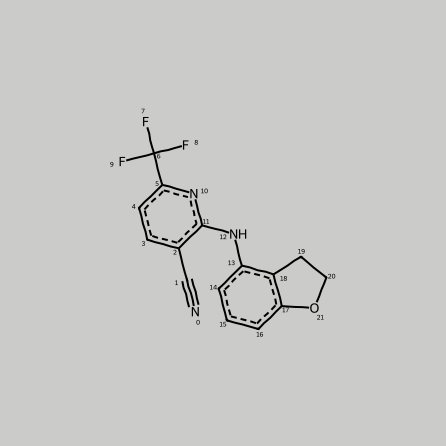 N#Cc1ccc(C(F)(F)F)nc1Nc1cccc2c1CCO2